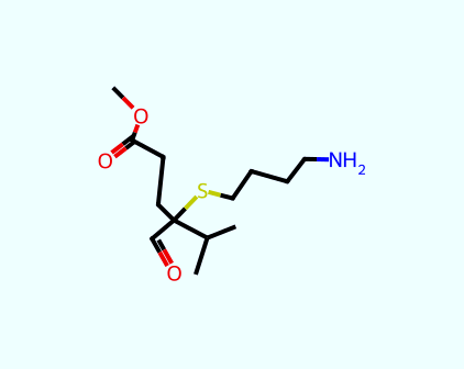 COC(=O)CCC(C=O)(SCCCCN)C(C)C